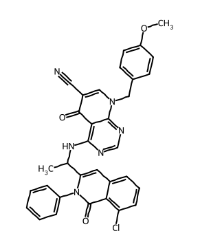 COc1ccc(Cn2cc(C#N)c(=O)c3c(NC(C)c4cc5cccc(Cl)c5c(=O)n4-c4ccccc4)ncnc32)cc1